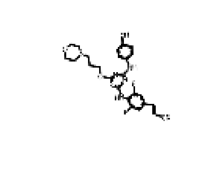 N#CC=Cc1cc(F)c(Nc2nc(Nc3ccc(C#N)cc3)nc(OCCCN3CCOCC3)n2)c(F)c1